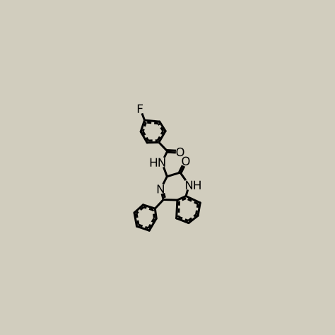 O=C(NC1N=C(c2ccccc2)c2ccccc2NC1=O)c1ccc(F)cc1